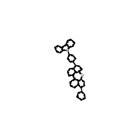 c1ccc(-c2ccc3oc4ccc(-c5ccc(-n6c7ccccc7c7ccccc76)cc5)c5cccc(c6cccc2c36)c45)cc1